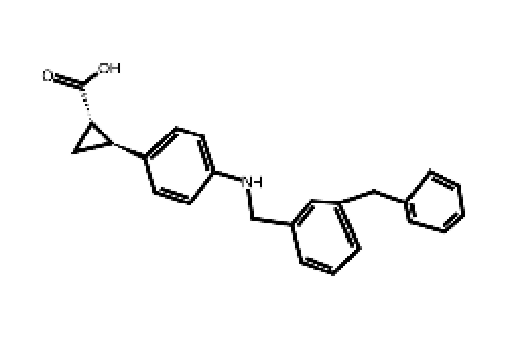 O=C(O)[C@H]1C[C@@H]1c1ccc(NCc2cccc(Cc3ccccc3)c2)cc1